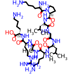 CC(C)C[C@H](NC(=O)CNC(=O)[C@H](CC(C)C)NC(=O)[C@@H]1CCCN1C(=O)[C@@H](N)CCCCN)C(=O)N[C@@H](CCCCN)C(=O)N[C@@H](C)C(=O)N[C@@H](CCCNC(=N)N)C(=O)N[C@@H](CCCCN)C(=O)O